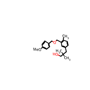 COc1ccc(COCc2cc(CC(C)(C)CO)ccc2C)cc1